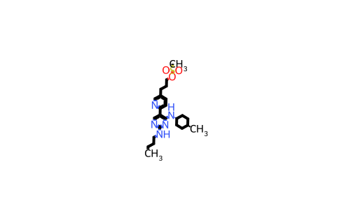 CCCCNc1ncc(-c2ccc(CCCOS(C)(=O)=O)cn2)c(N[C@H]2CC[C@H](C)CC2)n1